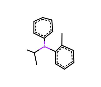 Cc1ccccc1I(c1ccccc1)C(C)C